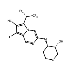 CC[C@@H](c1c(C#N)c(F)c2cnc(N[C@@H]3CCOC[C@H]3O)nn12)C(F)(F)F